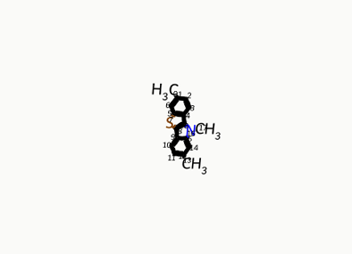 Cc1ccc2c(c1)sc1c3ccc(C)cc3n(C)c21